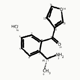 C[C@@H](N)c1ccccc1C(=O)c1ccoc1.Cl